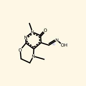 CN1CCOc2nn(C)c(=O)c(/C=N/O)c21